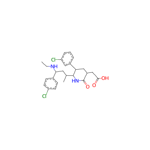 CCNC(CC(C)C1NC(=O)C(CC(=O)O)CC1c1cccc(Cl)c1)c1ccc(Cl)cc1